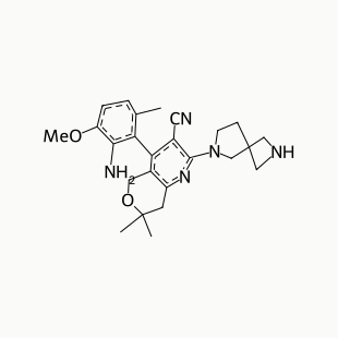 COc1ccc(C)c(-c2c(C#N)c(N3CCC4(CNC4)C3)nc3c2COC(C)(C)C3)c1N